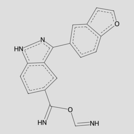 N=COC(=N)c1ccc2[nH]nc(-c3ccc4occc4c3)c2c1